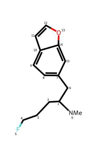 CNC(CCCF)Cc1ccc2ccoc2c1